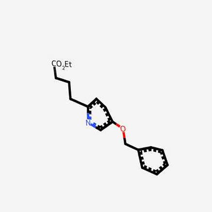 CCOC(=O)CCCc1ccc(OCc2ccccc2)cn1